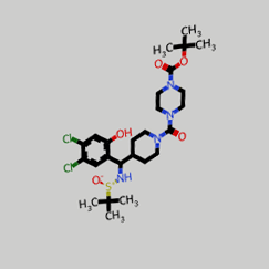 CC(C)(C)OC(=O)N1CCN(C(=O)N2CCC(C(N[S@@+]([O-])C(C)(C)C)c3cc(Cl)c(Cl)cc3O)CC2)CC1